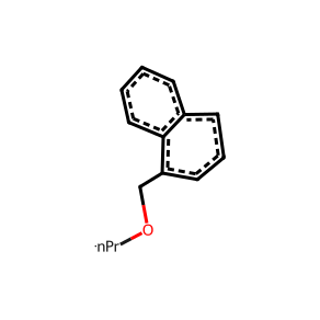 CC[CH]OCc1cccc2ccccc12